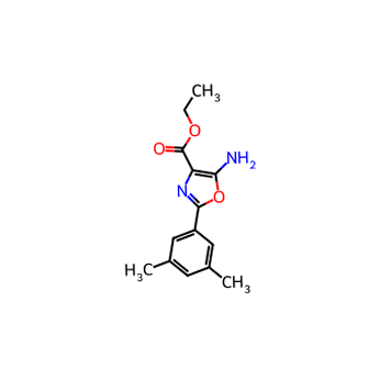 CCOC(=O)c1nc(-c2cc(C)cc(C)c2)oc1N